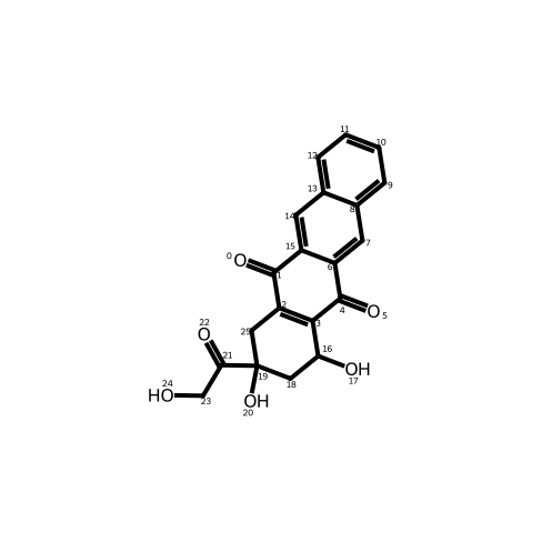 O=C1C2=C(C(=O)c3cc4ccccc4cc31)C(O)CC(O)(C(=O)CO)C2